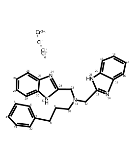 [Cl-].[Cl-].[Cl-].[Cr+3].c1ccc(CCCN(Cc2nc3ccccc3[nH]2)Cc2nc3ccccc3[nH]2)cc1